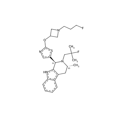 C[C@@H]1Cc2c([nH]c3ccccc23)[C@@H](c2cnc(OC3CN(CCCF)C3)s2)N1CC(C)(C)F